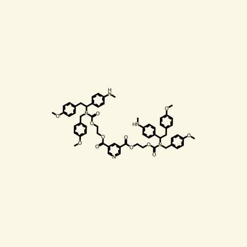 CNc1ccc(C(Cc2ccc(OC)cc2)N(Cc2ccc(OC)cc2)C(=O)OCCOC(=O)c2cncc(C(=O)OCCOC(=O)N(Cc3ccc(OC)cc3)C(Cc3ccc(OC)cc3)c3ccc(NC)cc3)c2)cc1